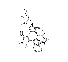 CCN(CC)CC(O)Cn1cc(C2=C(c3c[nH]c4ccccc34)C(=O)NC2=O)c2cc(N(C)C)ccc21